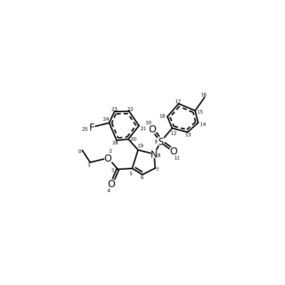 CCOC(=O)C1=CCN(S(=O)(=O)c2ccc(C)cc2)C1c1cccc(F)c1